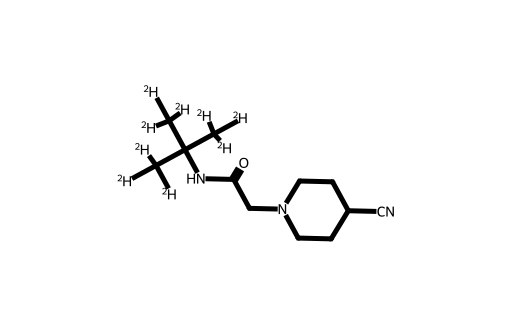 [2H]C([2H])([2H])C(NC(=O)CN1CCC(C#N)CC1)(C([2H])([2H])[2H])C([2H])([2H])[2H]